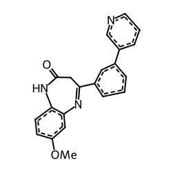 COc1ccc2c(c1)N=C(c1cccc(-c3cccnc3)c1)CC(=O)N2